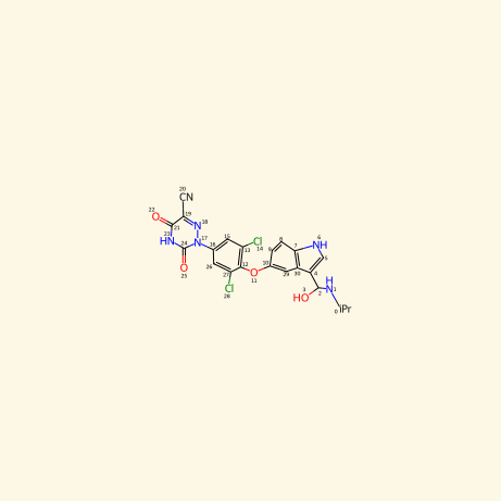 CC(C)NC(O)c1c[nH]c2ccc(Oc3c(Cl)cc(-n4nc(C#N)c(=O)[nH]c4=O)cc3Cl)cc12